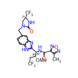 CO[C@H](CC(F)(F)F)[C@H](NC(=O)c1nonc1C)c1nc2cc(CN3C[C@@H](C(F)(F)F)NC3=O)ccc2[nH]1